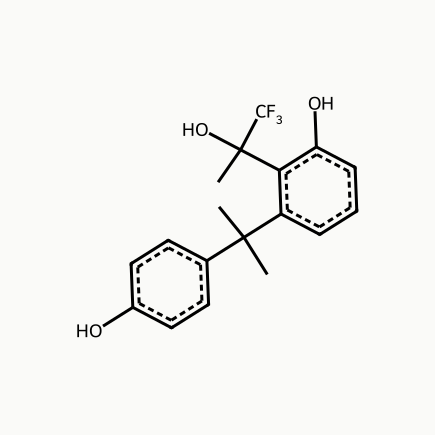 CC(C)(c1ccc(O)cc1)c1cccc(O)c1C(C)(O)C(F)(F)F